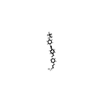 C=CCC[C@H]1CC[C@H](CCc2ccc(C#C[C@H]3CC[C@H](OC(F)C(F)(F)F)CC3)cc2)CC1